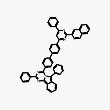 c1ccc(-c2cc(-c3ccc(-c4ccc(-c5nc(-c6ccccc6)nc6c7ccccc7c(-c7ccccc7)n56)cc4)cc3)nc(-c3ccc4ccccc4c3)n2)cc1